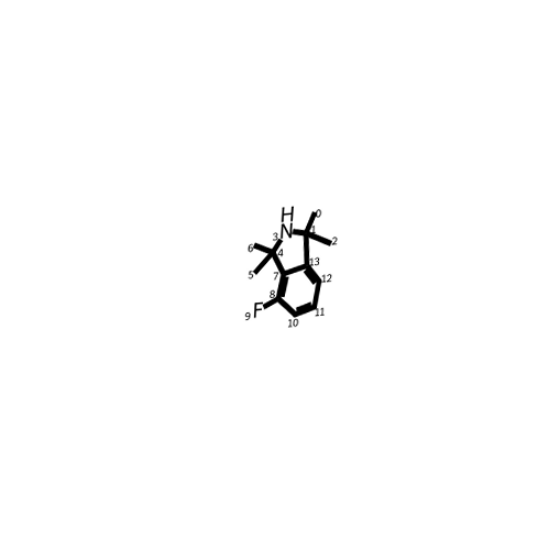 CC1(C)NC(C)(C)c2c(F)cccc21